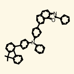 CC1(C)c2ccccc2-c2c(-c3ccc(N(c4ccccc4)c4ccc(-c5ccc6ccc7nc(-c8ccccc8)oc7c6c5)cc4)cc3)cccc21